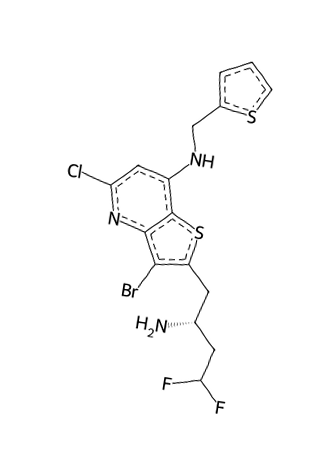 N[C@H](Cc1sc2c(NCc3cccs3)cc(Cl)nc2c1Br)CC(F)F